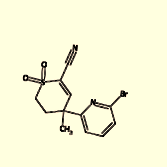 CC1(c2cccc(Br)n2)C=C(C#N)S(=O)(=O)CC1